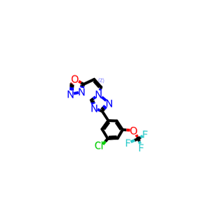 FC(F)(F)Oc1cc(Cl)cc(-c2ncn(/C=C\c3nnco3)n2)c1